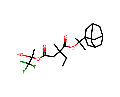 CCC(C)(CC(=O)OC(C)(O)C(F)(F)F)C(=O)OC(C)(C)C12CC3CC(CC(C3)C1)C2